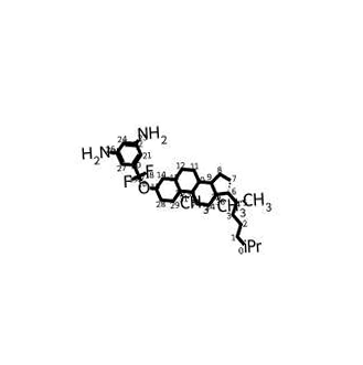 CC(C)CCC[C@@H](C)[C@H]1CCC2C3CCC4CC(OC(F)(F)c5cc(N)cc(N)c5)CC[C@]4(C)C3CC[C@@]21C